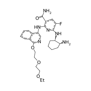 CCOCCOCCOc1ncc(Nc2nc(N[C@@H]3CCCC[C@@H]3N)c(F)cc2C(N)=O)c2ccccc12